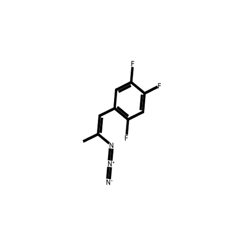 C/C(=C/c1cc(F)c(F)cc1F)N=[N+]=[N-]